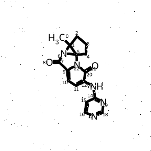 CC12CCCC13N2C(=O)c1ccc(Nc2ccncn2)c(=O)n13